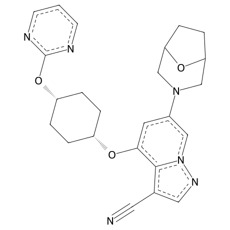 N#Cc1cnn2cc(N3CC4CCC(C3)O4)cc(O[C@H]3CC[C@@H](Oc4ncccn4)CC3)c12